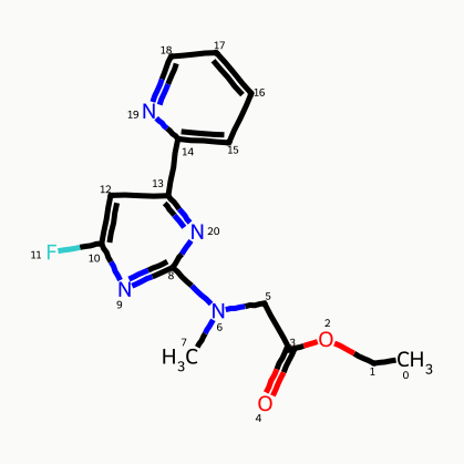 CCOC(=O)CN(C)c1nc(F)cc(-c2ccccn2)n1